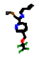 C=C/C=C\N=C(/CSCC)c1ccc(COC(F)(F)C(F)F)cn1